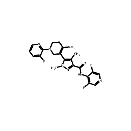 CC1=C(c2c(C)c(C(=O)Nc3c(F)cncc3F)nn2C)CN(c2ncccc2F)CC1